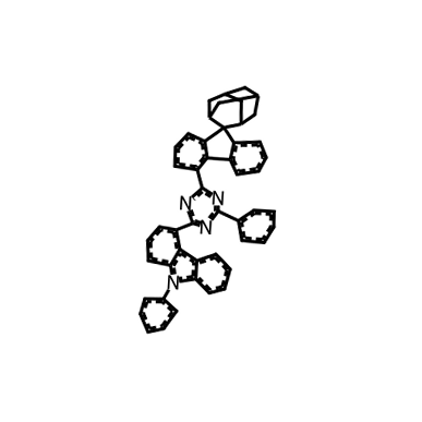 c1ccc(-c2nc(-c3cccc4c3-c3ccccc3C43C4CC5CC(C4)CC3C5)nc(-c3cccc4c3c3ccccc3n4-c3ccccc3)n2)cc1